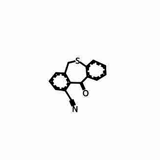 N#Cc1cccc2c1C(=O)c1ccccc1SC2